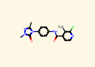 Cc1nn(C)c(=O)n1-c1ccc(NC(=O)c2ccnc(Cl)c2[N+](=O)[O-])cc1